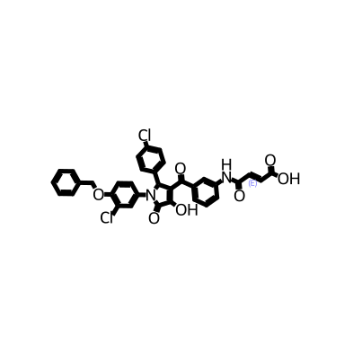 O=C(O)/C=C/C(=O)Nc1cccc(C(=O)C2=C(O)C(=O)N(c3ccc(OCc4ccccc4)c(Cl)c3)C2c2ccc(Cl)cc2)c1